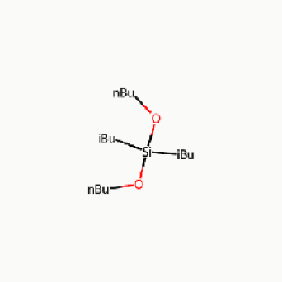 CCCCO[Si](OCCCC)(C(C)CC)C(C)CC